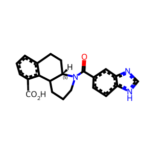 O=C(O)c1cccc2c1C1CCCN(C(=O)c3ccc4[nH]cnc4c3)[C@H]1CC2